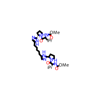 COC(=O)NC(C(=O)N1CCCC1c1ncc(CCCCCc2cnc([C@@H]3CCCN3C(=O)C(NC(=O)OC)C(C)C)[nH]2)[nH]1)C(C)C